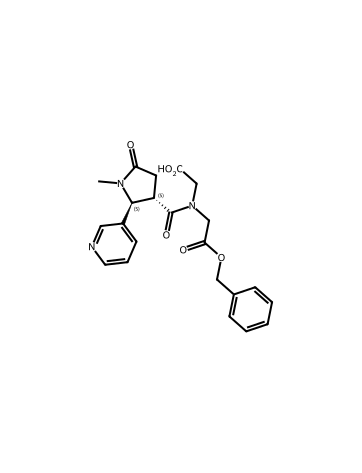 CN1C(=O)C[C@H](C(=O)N(CC(=O)O)CC(=O)OCc2ccccc2)[C@H]1c1cccnc1